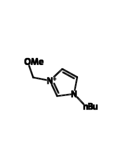 CCCCn1cc[n+](COC)c1